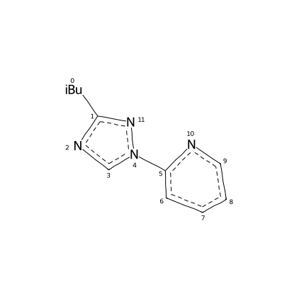 CCC(C)c1ncn(-c2ccccn2)n1